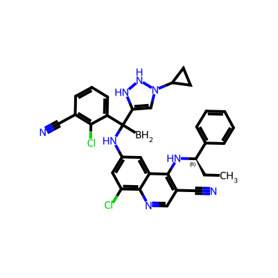 BC(Nc1cc(Cl)c2ncc(C#N)c(N[C@H](CC)c3ccccc3)c2c1)(C1=CN(C2CC2)NN1)c1cccc(C#N)c1Cl